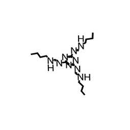 CCCCNC=Nc1nc(N=CNCCCC)nc(N=CNCCCC)n1